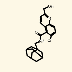 O=C(NCC12CC3CC(CC(C3)C1)C2)c1c(Cl)ccc2nc(CO)ccc12